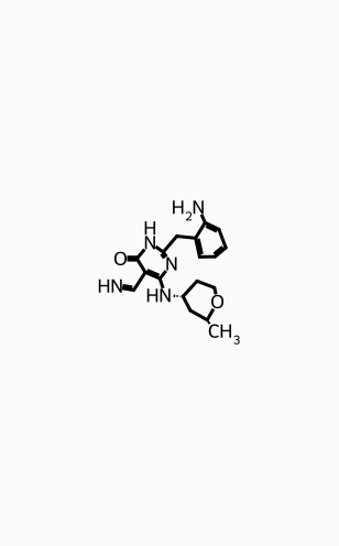 C[C@@H]1C[C@H](Nc2nc(Cc3ccccc3N)[nH]c(=O)c2C=N)CCO1